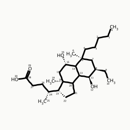 CCCCC[C@@]1(C)C[C@@H](CC)[C@@H](O)C2C1[C@@H](O)C[C@@]1(C)C2CC[C@@H]1[C@H](C)CCC(=O)O